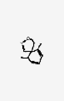 CC1=CC=CC(C)C12[C]=NOC2